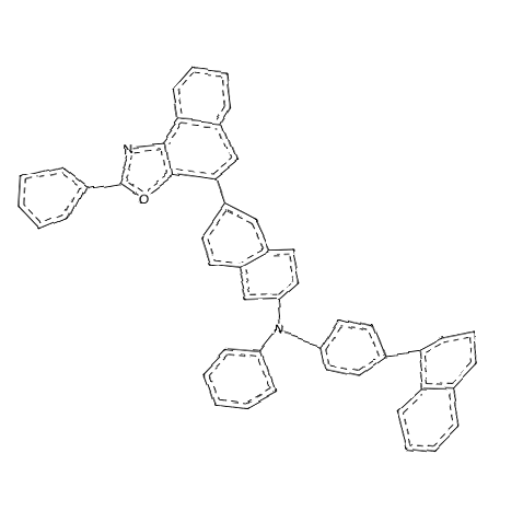 c1ccc(-c2nc3c(o2)c(-c2ccc4cc(N(c5ccccc5)c5ccc(-c6cccc7ccccc67)cc5)ccc4c2)cc2ccccc23)cc1